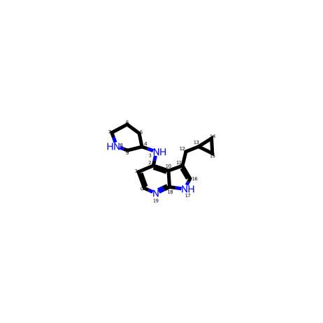 c1cc(NC2CCCNC2)c2c(CC3CC3)c[nH]c2n1